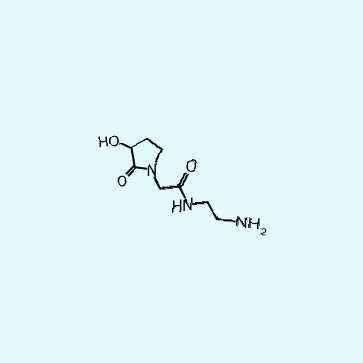 NCCNC(=O)CN1CCC(O)C1=O